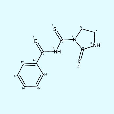 O=C(NC(=S)N1CCNC1=S)c1ccccc1